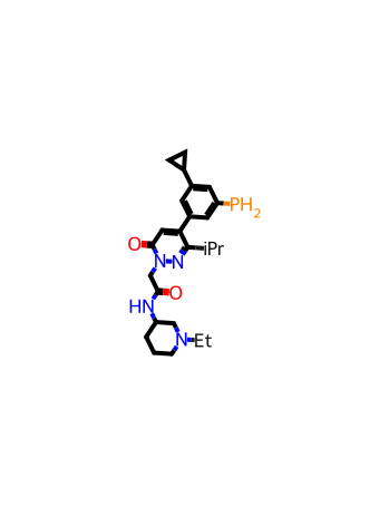 CCN1CCCC(NC(=O)Cn2nc(C(C)C)c(-c3cc(P)cc(C4CC4)c3)cc2=O)C1